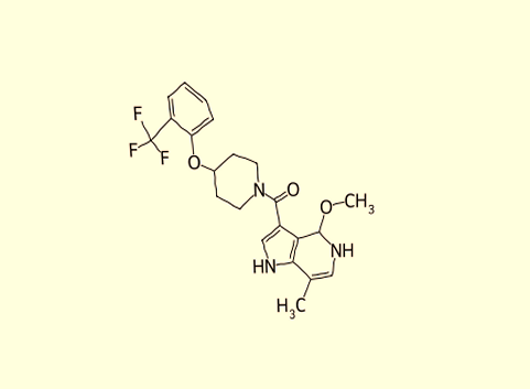 COC1NC=C(C)c2[nH]cc(C(=O)N3CCC(Oc4ccccc4C(F)(F)F)CC3)c21